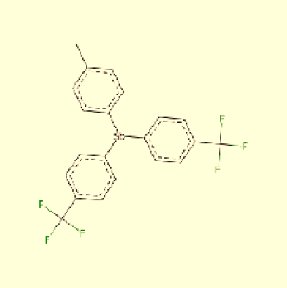 Cc1cc[c]([Sb]([c]2ccc(C(F)(F)F)cc2)[c]2ccc(C(F)(F)F)cc2)cc1